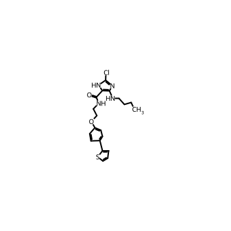 CCCCNc1nc(Cl)[nH]c1C(=O)NCCOc1ccc(-c2cccs2)cc1